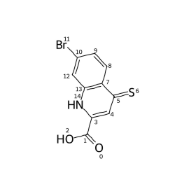 O=C(O)c1cc(=S)c2ccc(Br)cc2[nH]1